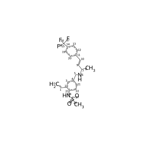 C=Cc1cc(CNC(C)/C=C/c2ccc(C(F)(F)F)cc2)ccc1NS(C)(=O)=O